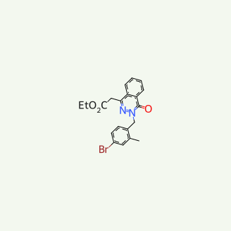 CCOC(=O)Cc1nn(Cc2ccc(Br)cc2C)c(=O)c2ccccc12